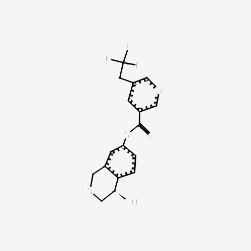 C[C@H]1CNCc2cc(NC(=O)c3cncc(CC(F)(F)F)c3)ccc21